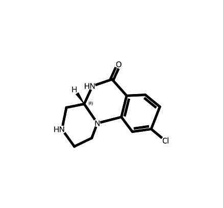 O=C1N[C@H]2CNCCN2c2cc(Cl)ccc21